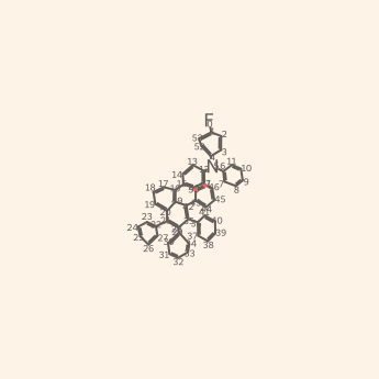 Fc1ccc(N(c2ccccc2)c2ccc(-c3cccc4c(-c5ccccc5)c(-c5ccccc5)c(-c5ccccc5)c(-c5ccccc5)c34)cc2)cc1